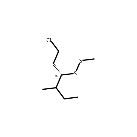 CCC(C)[C@H](CCCl)SSC